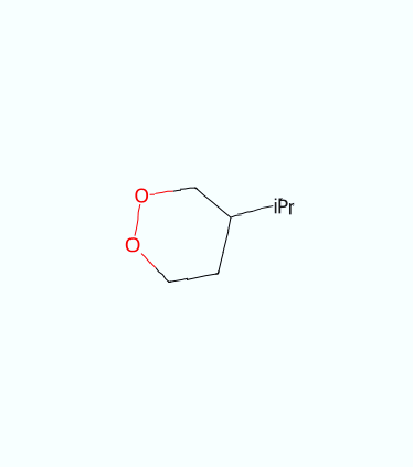 CC(C)C1CCOOC1